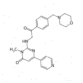 Cn1c(NCC(=O)c2ccc(CN3CCOCC3)cc2)nc(-c2ccncc2)cc1=O